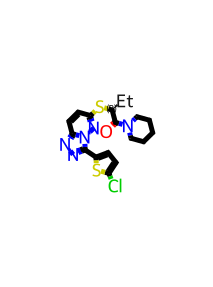 CC[C@@H](Sc1ccc2nnc(-c3ccc(Cl)s3)n2n1)C(=O)N1CCCCC1